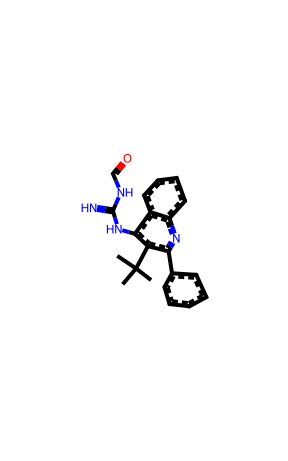 CC(C)(C)c1c(-c2ccccc2)nc2ccccc2c1NC(=N)NC=O